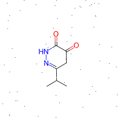 CC(C)C1=NNC(=O)C(=O)C1